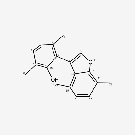 Cc1ccc(C)c(-c2coc3c(C)ccc(C)c23)c1O